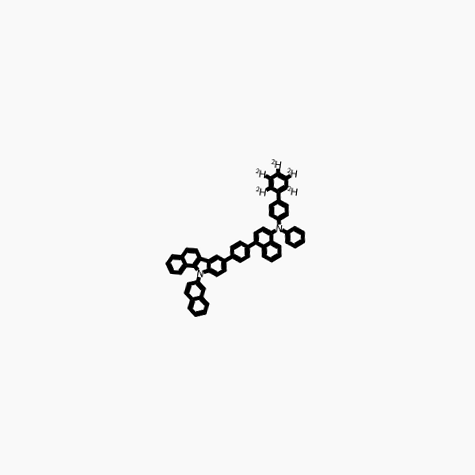 [2H]c1c([2H])c([2H])c(-c2ccc(N(c3ccccc3)c3ccc(-c4ccc(-c5ccc6c(c5)c5ccc7ccccc7c5n6-c5ccc6ccccc6c5)cc4)c4ccccc34)cc2)c([2H])c1[2H]